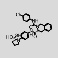 O=C(Nc1ccc(N2CCCS2(O)O)cc1)[C@H]1Cc2ccccc2CN1C(=O)Nc1ccc(Cl)cc1